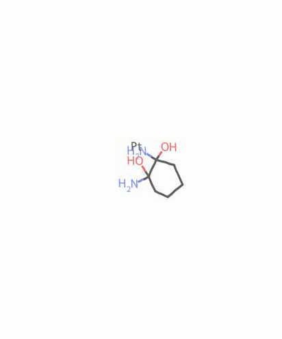 NC1(O)CCCCC1(N)O.[Pt]